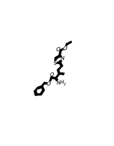 CCOC(=O)c1csc(CCC(C)C(N)C(=O)OCc2ccccc2)n1